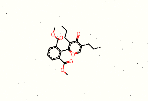 CCCc1coc(-c2c(C(=O)OC)cccc2C(=O)OC)c(CCC)c1=O